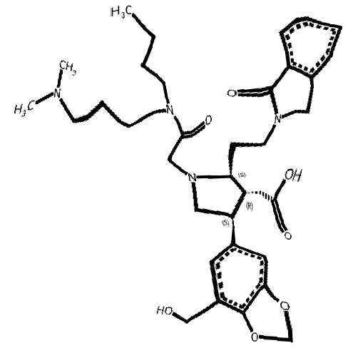 CCCCN(CCCN(C)C)C(=O)CN1C[C@H](c2cc(CO)c3c(c2)OCO3)[C@@H](C(=O)O)[C@@H]1CCN1Cc2ccccc2C1=O